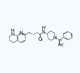 CC(=O)[C@H](c1ccccc1)N1CCC(NC(=O)CCCc2ccc3c(n2)NCCC3)CC1